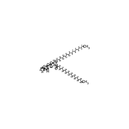 CCCCCCCCCCCCCCCCCCOCC(COC(=O)CCCCCCCCCCCCCCCCC)OC(=O)O[C@H]1CC2(CN1)CC1CCC2CC1